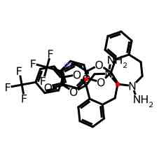 NN1CCc2ccccc2C(OC(=O)/C=C\C(=O)OC2(Oc3ccc(C(F)(F)F)cc3)CN(N)CCc3ccccc32)(Oc2ccc(C(F)(F)F)cc2)C1